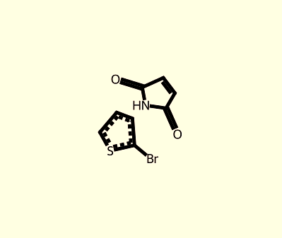 Brc1cccs1.O=C1C=CC(=O)N1